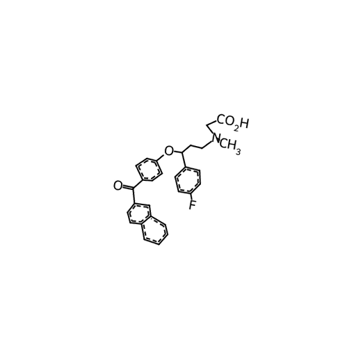 CN(CCC(Oc1ccc(C(=O)c2ccc3ccccc3c2)cc1)c1ccc(F)cc1)CC(=O)O